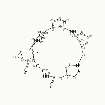 O=C1CN2CCN(CC2)Cc2cccc(c2)Nc2cc(ccn2)-c2cnc(nc2)CN(C(=O)C2CC2)CCN1